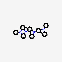 c1ccc(N2c3ccccc3-n3c4c2cccc4c2ccc4c(c5ccccc5n4-c4ccc5c(c4)c4ccccc4n5-c4ccccc4)c23)cc1